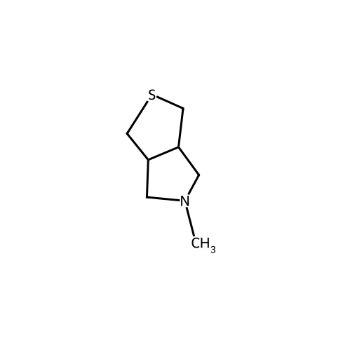 CN1CC2CSCC2C1